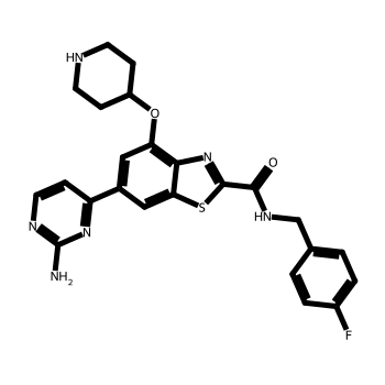 Nc1nccc(-c2cc(OC3CCNCC3)c3nc(C(=O)NCc4ccc(F)cc4)sc3c2)n1